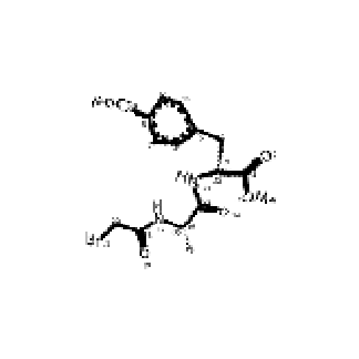 COC(=O)[C@H](Cc1ccc(OC)cc1)NC(=O)[C@H](C)NC(=O)CBr